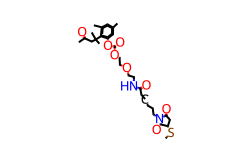 CSC1CC(=O)N(CCCCCC(=O)NCCOCCOC(=O)Oc2cc(C)cc(C)c2C(C)(C)CC(C)=O)C1=O